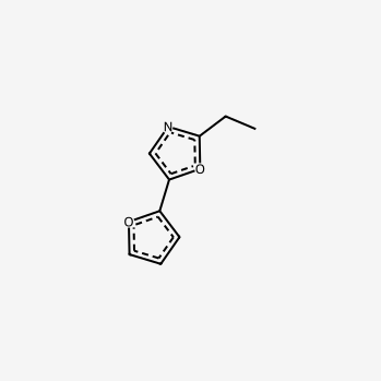 CCc1ncc(-c2ccco2)o1